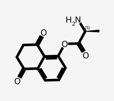 C[C@H](N)C(=O)Oc1cccc2c1C(=O)CCC2=O